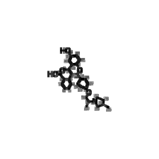 CC1=C(c2ccccc2C(=O)O)C(c2ccc(OC[C@H](C)N3CC[C@@H](C)C3)cc2)Oc2ccc(O)cc21